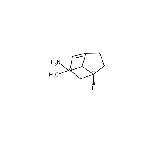 CN1C=C2CC[C@H](C1)C2CN